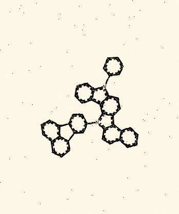 c1ccc(-n2c3ccccc3c3c2ccc2c4c5ccccc5ccc4n(-c4ccc5c(c4)-c4cccc6cccc-5c46)c23)cc1